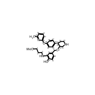 COCCCNc1cc(COC2CNCC[C@@H]2c2ccc(Oc3cccc(C)n3)cc2)ccc1O